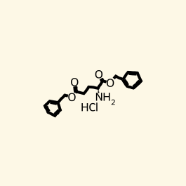 Cl.N[C@H](CCC(=O)OCc1ccccc1)C(=O)OCc1ccccc1